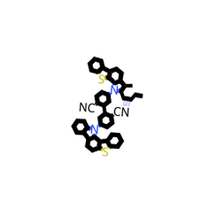 C=C/C=C\c1c(C)c2ccc3c4ccccc4sc3c2n1-c1ccc(C#N)c(-c2cc(-n3c4ccccc4c4ccc5sc6ccccc6c5c43)ccc2C#N)c1